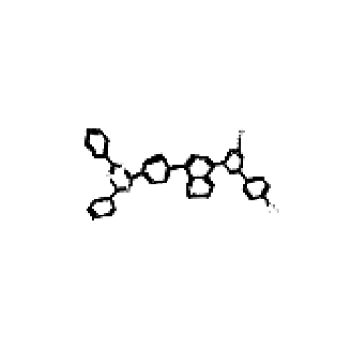 N#Cc1cc(-c2ccc(C(F)(F)F)cc2)cc(-c2ccc(-c3ccc(-c4nc(-c5ccccc5)nc(-c5ccccc5)n4)cc3)c3ccccc23)c1